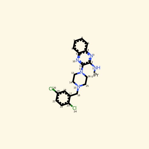 CC(C)Nc1nc2ccccc2nc1N1CCN(Cc2cc(Cl)ccc2Cl)CC1